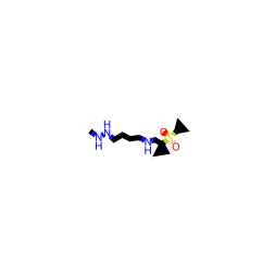 CNNCCCCNCC1(S(=O)(=O)C2CC2)CC1